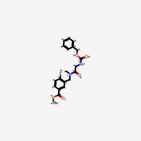 CN(Cc1cc(C(=O)OC(C)(C)C)ccc1F)C(=O)CNC(=O)OCc1ccccc1